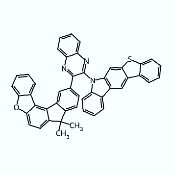 CC1(C)c2ccc(-c3nc4ccccc4nc3-n3c4ccccc4c4cc5c(cc43)sc3ccccc35)cc2-c2c1ccc1oc3ccccc3c21